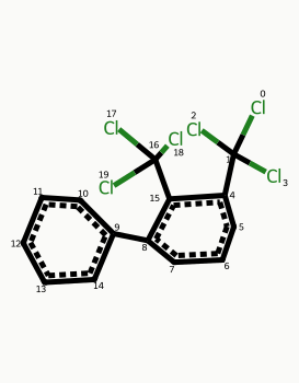 ClC(Cl)(Cl)c1cccc(-c2ccccc2)c1C(Cl)(Cl)Cl